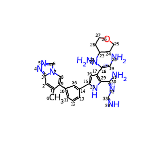 Cc1cc2nncn2cc1-c1cccc(-c2cc(/C(=C/N)N(N)C3CCOCC3)c(/C(N)=N\C=N)[nH]2)c1